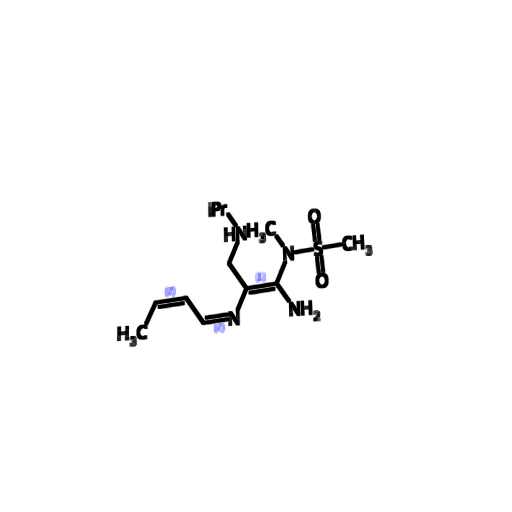 C\C=C/C=N\C(CNC(C)C)=C(/N)N(C)S(C)(=O)=O